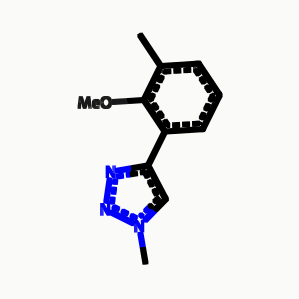 COc1c(C)cccc1-c1cn(C)nn1